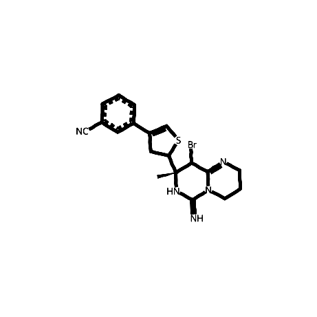 C[C@]1(C2CC(c3cccc(C#N)c3)=CS2)NC(=N)N2CCCN=C2C1Br